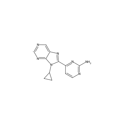 Nc1nccc(-c2nc3cn[c]nc3n2C2CC2)n1